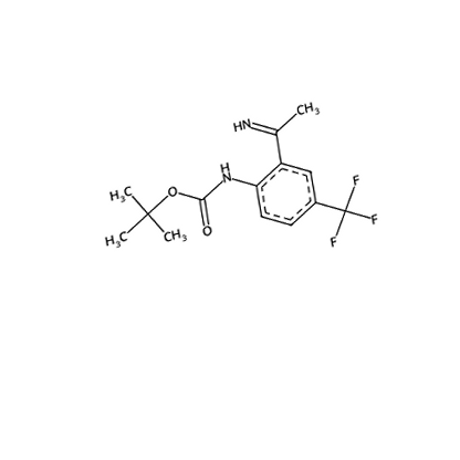 CC(=N)c1cc(C(F)(F)F)ccc1NC(=O)OC(C)(C)C